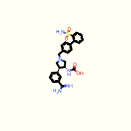 N=C(N)c1cccc([C@H]2CN(Cc3ccc(-c4ccccc4S(N)(=O)=O)cc3)C[C@@H]2NC(=O)O)c1